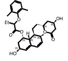 CCC(Oc1c(C)cccc1C)C(=O)O[C@H]1C[C@H](O)C=C2C=C[C@H](C)[C@H](CC[C@@H]3C[C@@H](O)CC(=O)O3)[C@H]21